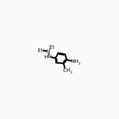 CCN(CC)Nc1ccc(N)c(C)c1